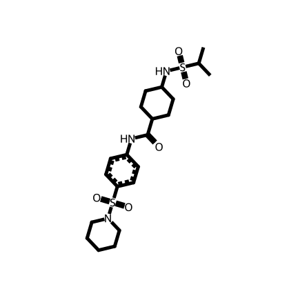 CC(C)S(=O)(=O)NC1CCC(C(=O)Nc2ccc(S(=O)(=O)N3CCCCC3)cc2)CC1